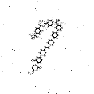 C=C1CCN(c2ccc(N3CCC(CCN4CCN(c5ccc(-c6cnc(N)c(C(=N)c7ccc([C@@H](C)NC(=O)c8ccc(C(C)(C)O)cc8F)c(C)c7)c6)cc5)CC4)CC3)cc2Cl)C(=O)N1